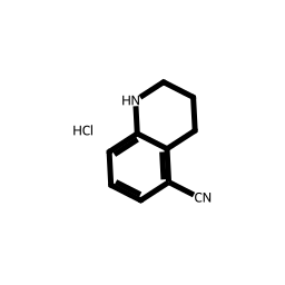 Cl.N#Cc1cccc2c1CCCN2